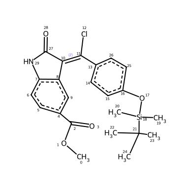 COC(=O)c1ccc2c(c1)/C(=C(/Cl)c1ccc(O[Si](C)(C)C(C)(C)C)cc1)C(=O)N2